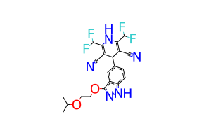 CC(C)OCCOc1n[nH]c2ccc(C3C(C#N)=C(C(F)F)NC(C(F)F)=C3C#N)cc12